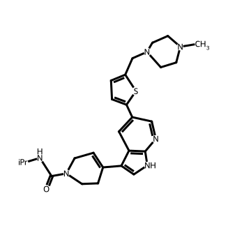 CC(C)NC(=O)N1CC=C(c2c[nH]c3ncc(-c4ccc(CN5CCN(C)CC5)s4)cc23)CC1